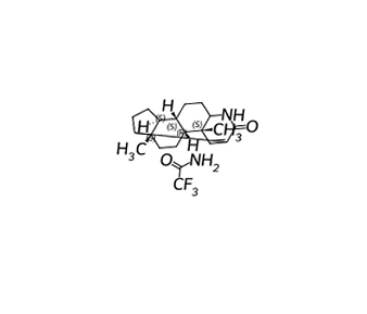 C[C@]12C=C3C(=O)NC1CC[C@@H]1[C@H]2CC[C@]2(C)C3CC[C@@H]12.NC(=O)C(F)(F)F